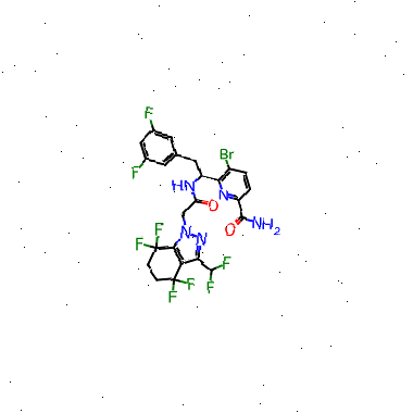 NC(=O)c1ccc(Br)c(C(Cc2cc(F)cc(F)c2)NC(=O)Cn2nc(C(F)F)c3c2C(F)(F)CCC3(F)F)n1